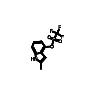 Cc1cc2c(OS(=O)(=O)C(F)(F)F)cccc2[nH]1